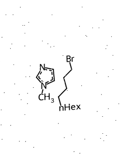 CCCCCCCCCCBr.Cn1ccnc1